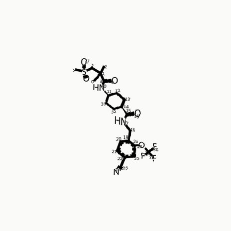 CC(C)(CS(C)(=O)=O)C(=O)N[C@H]1CC[C@@H](C(=O)NCc2ccc(C#N)cc2OC(F)(F)F)CC1